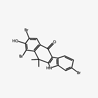 CC1(C)c2[nH]c3cc(Br)ccc3c2C(=O)c2cc(Br)c(O)c(Br)c21